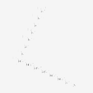 O=[N+]([O-])O.O=[N+]([O-])O.O=[N+]([O-])O.O=[N+]([O-])O.O=[N+]([O-])O.O=[N+]([O-])O.O=[N+]([O-])O.O=[N+]([O-])O.O=[N+]([O-])O.O=[N+]([O-])O.O=[N+]([O-])O.O=[N+]([O-])O.O=[N+]([O-])O.O=[N+]([O-])O.[Zn].[Zn].[Zn]